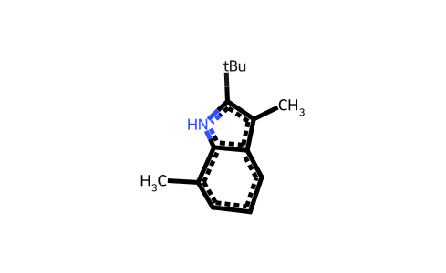 Cc1c(C(C)(C)C)[nH]c2c(C)cccc12